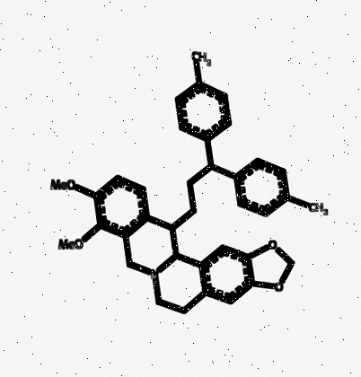 COc1ccc2c(c1OC)CN1CCc3cc4c(cc3C1C2CCC(c1ccc(C)cc1)c1ccc(C)cc1)OCO4